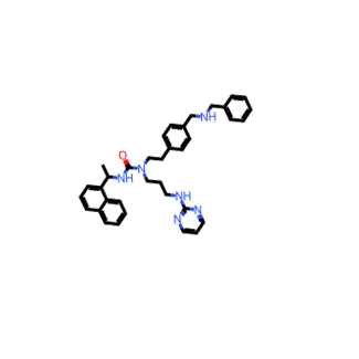 CC(NC(=O)N(CCCNc1ncccn1)CCc1ccc(CNCc2ccccc2)cc1)c1cccc2ccccc12